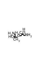 CC(O)(CN)COCC(C)(O)CN